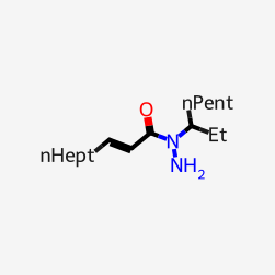 CCCCCCC/C=C/C(=O)N(N)C(CC)CCCCC